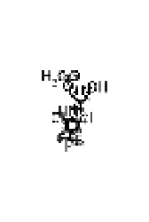 CC(=O)ON=CC(C=NO)=NNc1c(Cl)cc(C(F)(F)F)cc1Cl